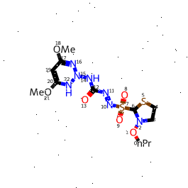 CCCON1CCSC1S(=O)(=O)N=NC(=O)NN1N=C(OC)C=C(OC)N1